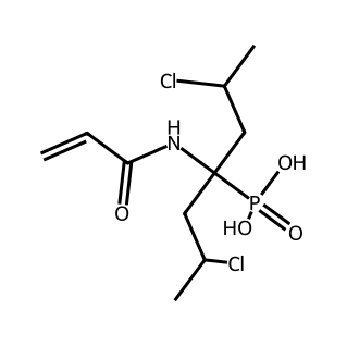 C=CC(=O)NC(CC(C)Cl)(CC(C)Cl)P(=O)(O)O